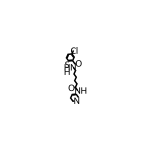 O=C(CCCCCNC(=O)c1cc(Cl)ccc1S)NC1=CCCN=C1